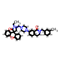 CCNC(=O)C1(CCCN2CCN(c3ccc4c(c3)C(=O)N(Cc3cccc(C)c3)CC4)CC2)c2ccccc2Oc2ccccc21